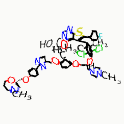 Cc1c(Cl)c2c(Cl)c(C)c1-c1c(-c3ccc(F)cc3)sc3ncnc(c13)O[C@@H](C(=O)O)Cc1cc(ccc1OCc1ccnc(-c3ccc(OC[C@@H]4CN(C)CCCO4)cc3)n1)OC[C@@H](CN1CCN(C)CC1)O2